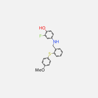 COc1ccc(Sc2ccccc2CNc2ccc(O)c(F)c2)cc1